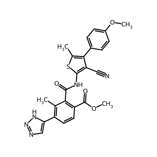 COC(=O)c1ccc(-c2cnn[nH]2)c(C)c1C(=O)Nc1sc(C)c(-c2ccc(OC)cc2)c1C#N